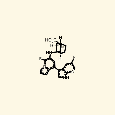 O=C(O)[C@@H]1C(Nc2cc(-c3c[nH]c4ncc(F)cc34)c3cccn3c2F)[C@H]2CC[C@@H]1CC2